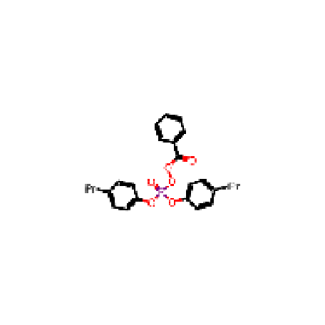 CC(C)c1ccc(OP(=O)(OOC(=O)c2ccccc2)Oc2ccc(C(C)C)cc2)cc1